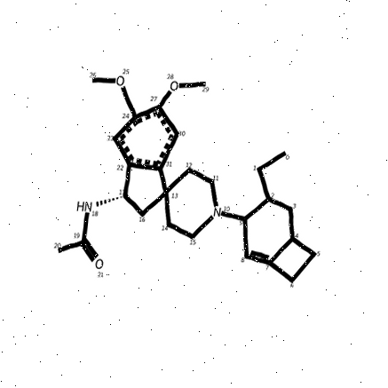 CCC1CC2CCC2=CC1N1CCC2(CC1)C[C@H](NC(C)=O)c1cc(OC)c(OC)cc12